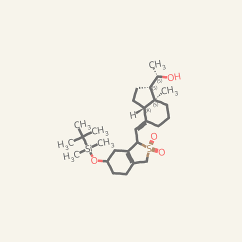 C[C@H](O)[C@H]1CC[C@H]2C(=CC3C4=C(CCC(O[Si](C)(C)C(C)(C)C)C4)CS3(=O)=O)CCC[C@]12C